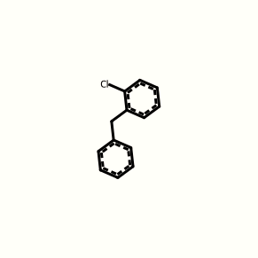 Clc1ccccc1Cc1ccccc1